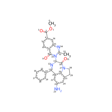 COC(=O)c1ccc2c(=O)n(C3N=C(c4ccccc4)c4cc(N)cc5c4N(CC5)C3=O)c(C)nc2c1